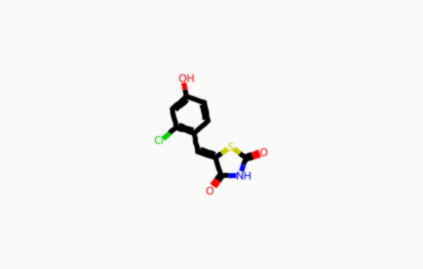 O=C1NC(=O)/C(=C/c2ccc(O)cc2Cl)S1